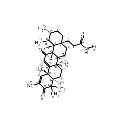 CCNC(=O)CC[C@]12CC[C@@H](C)[C@H](C)[C@H]1[C@H]1C(=O)C=C3[C@@]4(C)C=C(C#N)C(=O)C(C)(C)[C@@H]4CC[C@@]3(C)[C@]1(C)CC2